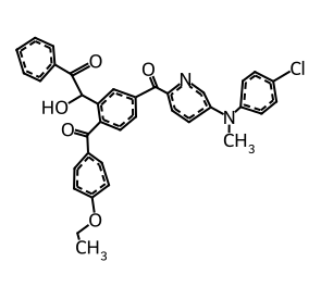 CCOc1ccc(C(=O)c2ccc(C(=O)c3ccc(N(C)c4ccc(Cl)cc4)cn3)cc2C(O)C(=O)c2ccccc2)cc1